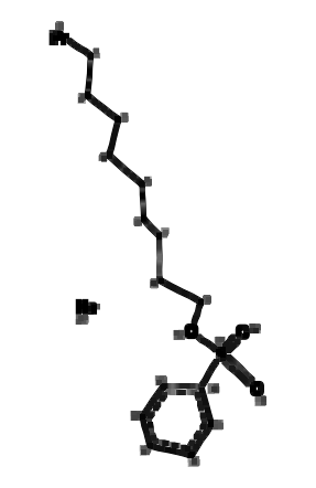 CC(C)CCCCCCCCCOS(=O)(=O)c1ccccc1.[Na]